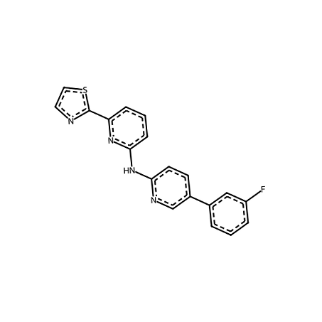 Fc1cccc(-c2ccc(Nc3cccc(-c4nccs4)n3)nc2)c1